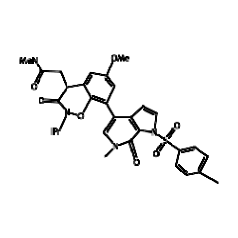 CNC(=O)CC1C(=O)N(C(C)C)Oc2c(-c3cn(C)c(=O)c4c3ccn4S(=O)(=O)c3ccc(C)cc3)cc(OC)cc21